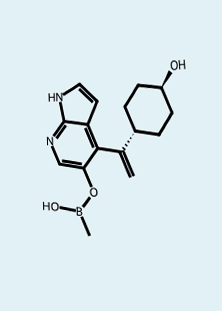 C=C(c1c(OB(C)O)cnc2[nH]ccc12)[C@H]1CC[C@H](O)CC1